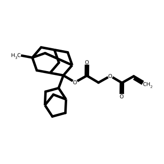 C=CC(=O)OCC(=O)OC1(C2CC3CCC2C3)C2CC3CC1CC(C)(C3)C2